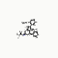 C=C1C/C(=C/C(=O)N(C)C)Cc2[nH]c(-c3ccncc3OC)c(Nc3ccccc3)c21